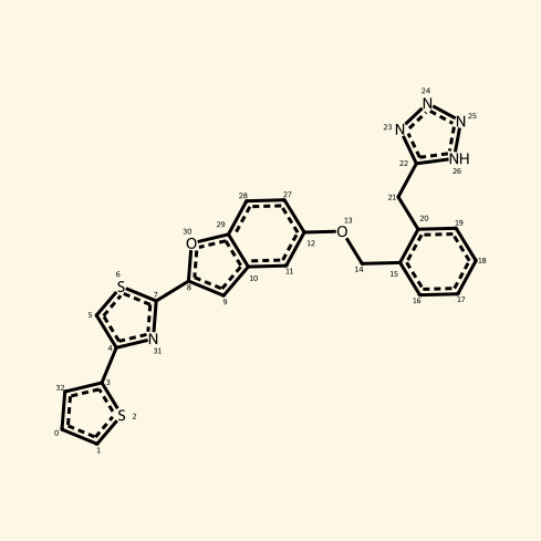 c1csc(-c2csc(-c3cc4cc(OCc5ccccc5Cc5nnn[nH]5)ccc4o3)n2)c1